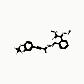 CNC(=O)/C(=N/OC)c1ccccc1CO/N=C(\C)C#Cc1ccc2c(c1)OC(F)(F)O2